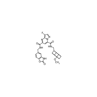 COC12C3C4C1C1C2C3C41CNC(=O)c1cc(C(=O)NCc2ccc3oc(=O)[nH]c3c2)nc2c(F)cnn12